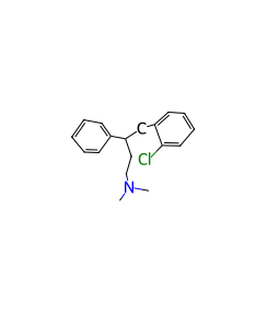 CN(C)CCC(Cc1ccccc1Cl)c1ccccc1